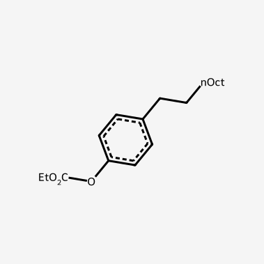 CCCCCCCCCCc1ccc(OC(=O)OCC)cc1